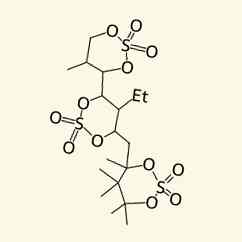 CCC1C(CC2(C)OS(=O)(=O)OC(C)(C)C2(C)C)OS(=O)(=O)OC1C1OS(=O)(=O)OCC1C